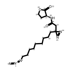 [N-]=[N+]=NCCCCCCCCCC1(CC(=O)N[C@H]2CCOC2=O)N=N1